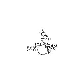 COc1cc(O[C@@H]2C[C@H]3C(=O)N[C@]4(C(=O)NS(=O)(=O)C5(C)CC5)C[C@H]4/C=C\CC[C@@H](C)C[C@@H](C)[C@H](NC(=O)OC(C)(C)C(C)(F)F)C(=O)N3C2)c2cc(F)c(OC)cc2n1